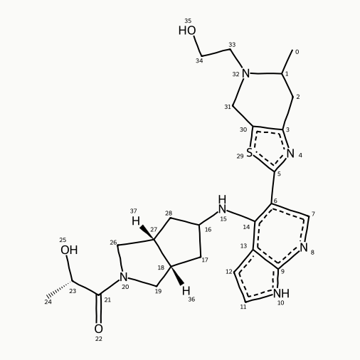 CC1Cc2nc(-c3cnc4[nH]ccc4c3NC3C[C@@H]4CN(C(=O)[C@H](C)O)C[C@@H]4C3)sc2CN1CCO